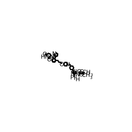 CC(C)(C)OC(=O)Nc1cn(C2CCC(CN3CCC(OCCCc4cccc5c4c4cccnc4n5C4CCC(=O)NC4=O)CC3)CC2)nc1C(F)F